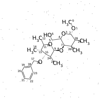 CO[C@H]1OC(CO)[C@H](O[C@@H]2OC(C)[C@@H](C)[C@@H](OCc3ccccc3)C2C)[C@H](C)C1C